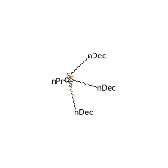 [CH2]CCc1cc(SCCCCCCCCCCCCCCCCCCCCCCC)c(SCCCCCCCCCCCCCCCCCCCCCCC)c(SCCCCCCCCCCCCCCCCCCCCCCC)c1